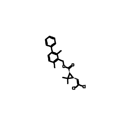 Cc1ccc(-c2ccccc2)c(C)c1COC(=O)[C@@H]1[C@H](C=C(Cl)Cl)C1(C)C